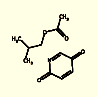 CC(=O)OCC(C)C.O=C1C=CC(=O)N=C1